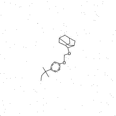 CCC(C)(C)c1ccc(OCOC2C3CC4CC(C3)CC2C4)cc1